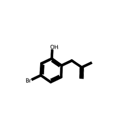 C=C(C)Cc1ccc(Br)cc1O